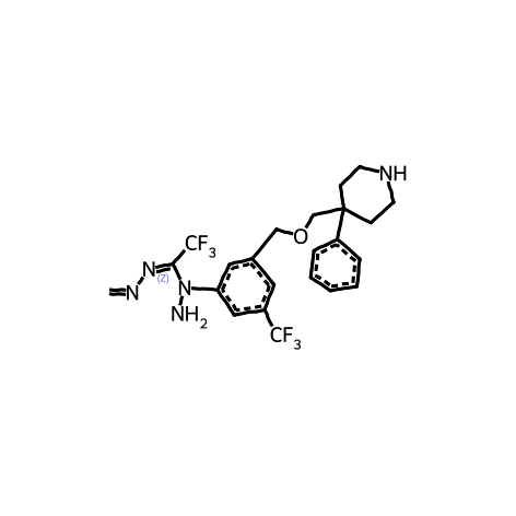 C=N/N=C(\N(N)c1cc(COCC2(c3ccccc3)CCNCC2)cc(C(F)(F)F)c1)C(F)(F)F